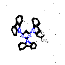 Cc1ccc2c3ccccc3n(-c3cc(-n4c5ccccc5c5ccccc54)nc(-n4c5ccccc5c5ccccc54)n3)c2c1